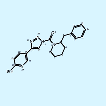 O=C(N1CCCCC1Cc1ccccc1)n1cc(-c2ccc(Br)nc2)nn1